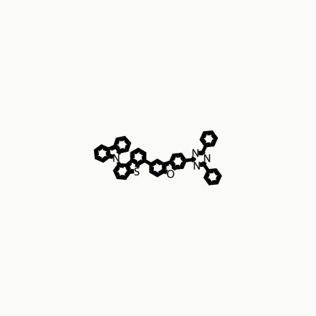 c1ccc(-c2nc(-c3ccccc3)nc(-c3ccc4c(c3)oc3ccc(-c5cccc6c5sc5cccc(-n7c8ccccc8c8ccccc87)c56)cc34)n2)cc1